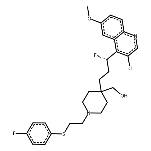 COc1ccc2ncc(Cl)c([C@@H](F)CCC3(CO)CCN(CCSc4ccc(F)cc4)CC3)c2c1